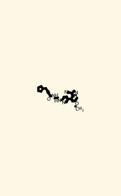 CCOc1cc(-c2ccc(NCCNC(=O)C#CCC3CCCC3)nc2)c2c(C#N)cnn2c1